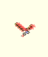 COc1ccc(CN2C=CC=CC2=C2OCCO2)cc1.O=P(O)(O)F.O=P(O)(O)F.O=P(O)(O)F.O=P(O)(O)F.O=P(O)(O)F.O=P(O)(O)F